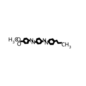 CCCCc1ccc(N=Nc2ccc(N=Nc3ccc(C(=O)OC)cc3)cc2)cc1